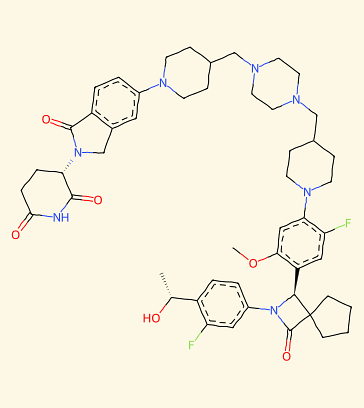 COc1cc(N2CCC(CN3CCN(CC4CCN(c5ccc6c(c5)CN([C@H]5CCC(=O)NC5=O)C6=O)CC4)CC3)CC2)c(F)cc1[C@@H]1N(c2ccc([C@@H](C)O)c(F)c2)C(=O)C12CCCC2